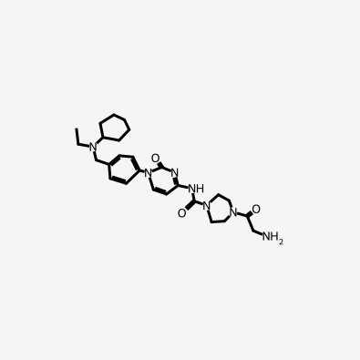 CCN(Cc1ccc(-n2ccc(NC(=O)N3CCN(C(=O)CN)CC3)nc2=O)cc1)C1CCCCC1